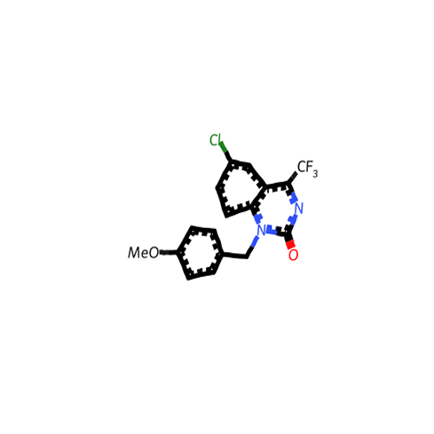 COc1ccc(Cn2c(=O)nc(C(F)(F)F)c3cc(Cl)ccc32)cc1